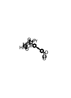 CC(C)N1C(=O)N(Cc2nc[nH]c(=O)c2O)CC1c1ccc(C#Cc2ccc(C(=O)N3CCOCC3)cc2)cc1